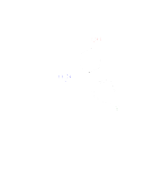 NCC1(c2ccc(F)cc2)CCC(O)CC1